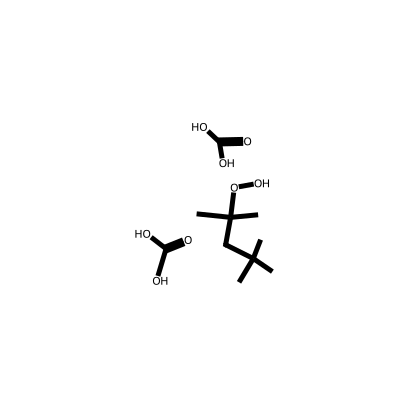 CC(C)(C)CC(C)(C)OO.O=C(O)O.O=C(O)O